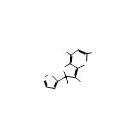 CCC1=C2NC(N)=CC(N)=C2SC1(CC)c1ccn[nH]1